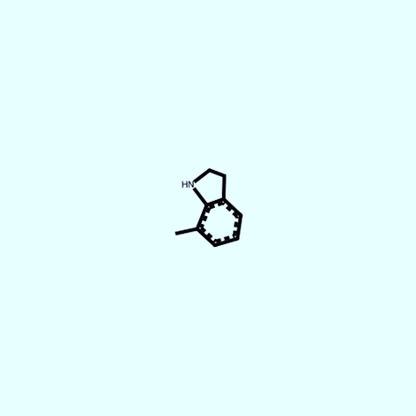 Cc1cccc2c1NCC2